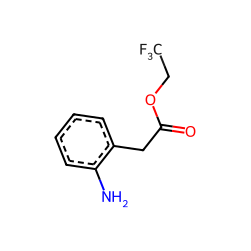 Nc1ccccc1CC(=O)OCC(F)(F)F